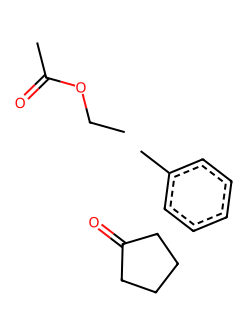 CCOC(C)=O.Cc1ccccc1.O=C1CCCC1